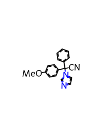 COc1ccc(C(C#N)(c2ccccc2)n2ccnc2)cc1